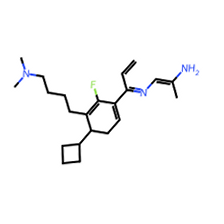 C=C/C(=N\C=C(/C)N)C1=CCC(C2CCC2)C(CCCCN(C)C)=C1F